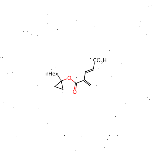 C=C(C=CC(=O)O)C(=O)OC1(CCCCCC)CC1